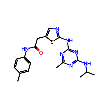 Cc1ccc(NC(=O)Cc2cnc(Nc3nc(C)nc(NC(C)C)n3)s2)cc1